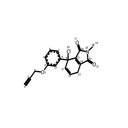 C#CCOc1cccc(C2(Cl)C=CCC3=C2C(=O)N(F)C3=O)c1